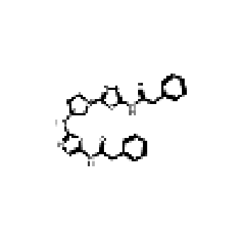 O=C(Cc1ccccc1)Nc1nnc(N[C@H]2CCN(c3nnc(NC(=O)Cc4ccccc4)s3)C2)s1